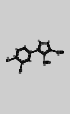 COc1c(C=O)csc1-c1ccc(Cl)c(Cl)c1